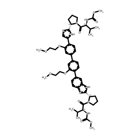 COCCOc1cc(-c2ccc(-c3cnc([C@@H]4CCCN4C(=O)[C@@H](NC(=O)OC)C(C)C)[nH]3)c(OCCOC)c2)ccc1-c1ccc2nc([C@@H]3CCCN3C(=O)[C@@H](NC(=O)OC)C(C)C)[nH]c2c1